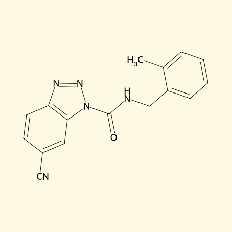 Cc1ccccc1CNC(=O)n1nnc2ccc(C#N)cc21